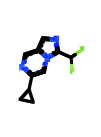 FC(F)c1ncc2cnc(C3CC3)cn12